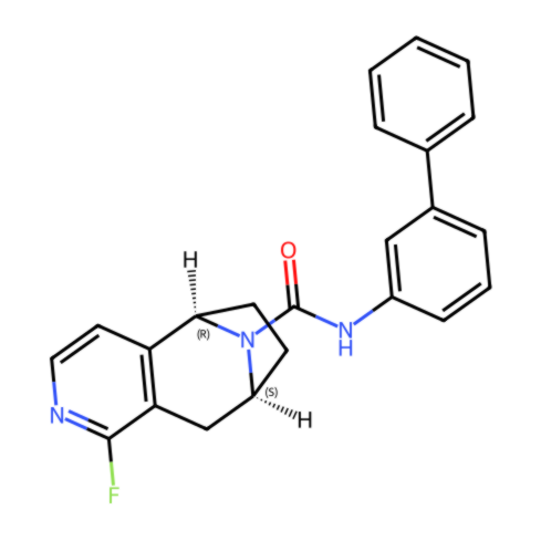 O=C(Nc1cccc(-c2ccccc2)c1)N1[C@H]2CC[C@@H]1c1ccnc(F)c1C2